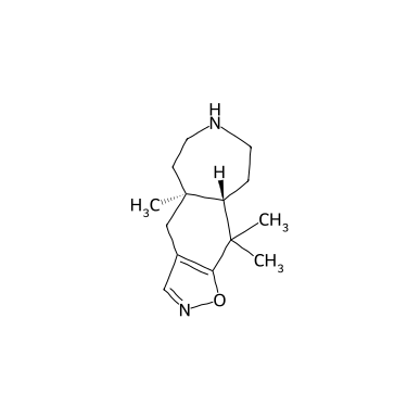 CC1(C)c2oncc2C[C@@]2(C)CCNCC[C@H]12